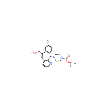 CC(C)(C)OC(=O)N1CCN(C2c3ccc(Cl)cc3C(CO)=Cc3cccnc32)CC1